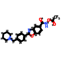 O=C(NOC(=O)C(F)(F)F)c1ccc2oc(-c3ccc(CN4CCCCC4)cc3)nc2c1